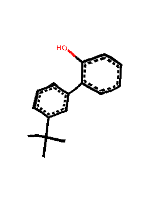 CC(C)(C)c1cccc(-c2ccccc2O)c1